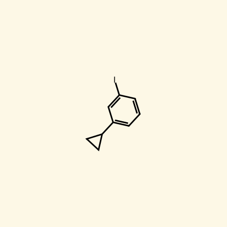 Ic1cccc(C2CC2)c1